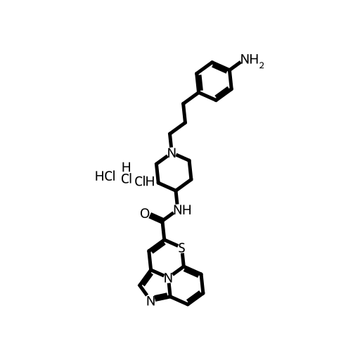 Cl.Cl.Cl.Nc1ccc(CCCN2CCC(NC(=O)C3=Cc4cnc5cccc(n45)S3)CC2)cc1